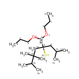 CCCO[SiH](OCCC)[C@](S)(CC(C)C)[SiH2]C(C)(C)C(C)C